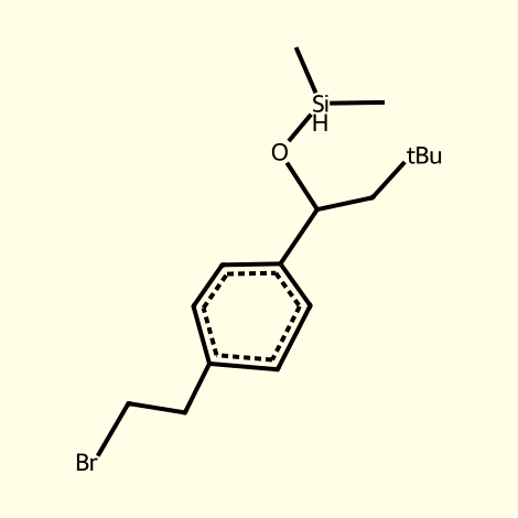 C[SiH](C)OC(CC(C)(C)C)c1ccc(CCBr)cc1